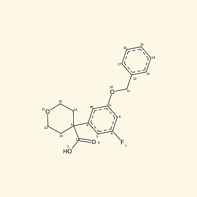 O=C(O)C1(c2cc(F)cc(OCc3ccccc3)c2)CCOCC1